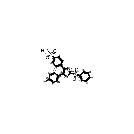 NS(=O)(=O)c1ccc(-c2nc(S(=O)(=O)c3ccccc3)sc2-c2ccc(F)cc2)cc1